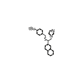 CC(C)(C)c1ccc(CSC(Cn2ccnc2)c2ccc3ccccc3c2)cc1